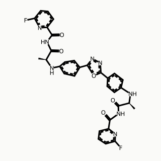 C[C@H](Nc1ccc(-c2nnc(-c3ccc(N[C@@H](C)C(=O)NC(=O)c4cccc(F)n4)cc3)o2)cc1)C(=O)NC(=O)c1cccc(F)n1